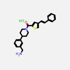 Cl.NCc1cccc(C2CCN(C(=O)c3cc(C=Cc4ccccc4)cs3)CC2)c1